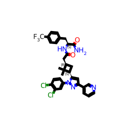 CC1(C)[C@@H](CC(=O)N[C@@H](Cc2ccc(C(F)(F)F)cc2)C(N)=O)C[C@@H]1c1cc(-c2cccnc2)nn1-c1ccc(Cl)c(Cl)c1